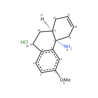 COc1ccc2c(c1)[C@]1(N)CC=CC[C@@H]1CC2.Cl